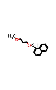 COCCCO[SiH2]c1cccc2ccccc12